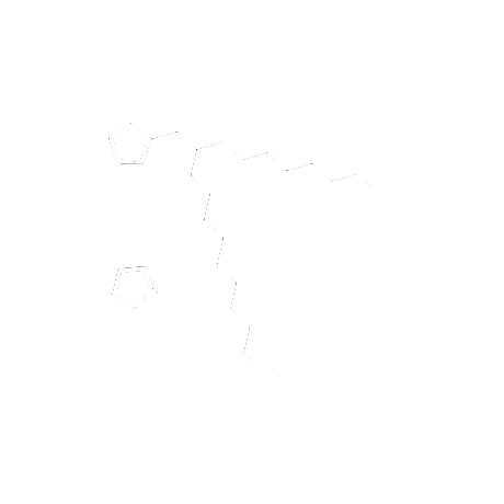 CCCCCCCCCCC(CCCCCCCC)Cc1ccsc1.c1cc[nH]c1